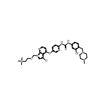 CN1CCN(Cc2ccc(NC(=O)Nc3ccc(Oc4ccnc5c4c(Cl)cn5COCC[Si](C)(C)C)cn3)cc2C(F)(F)F)CC1